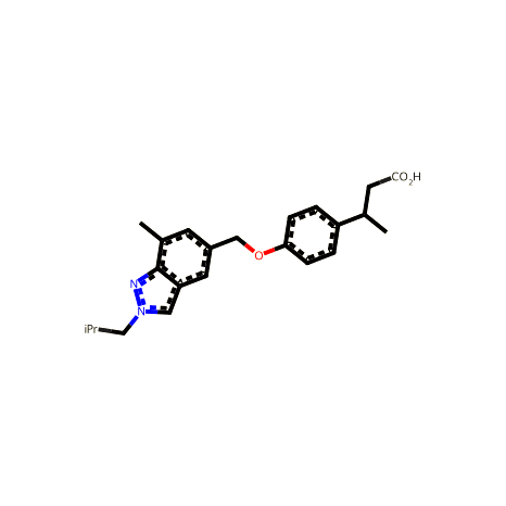 Cc1cc(COc2ccc(C(C)CC(=O)O)cc2)cc2cn(CC(C)C)nc12